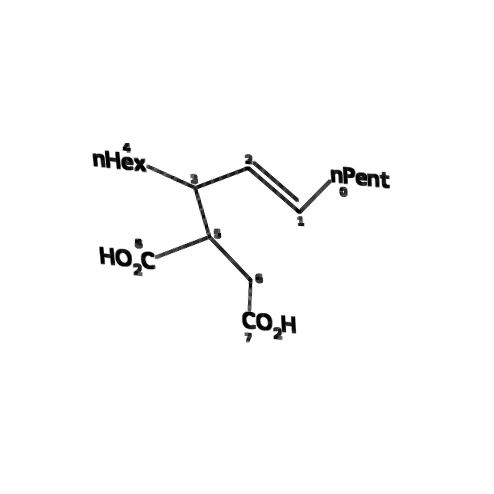 CCCCCC=CC(CCCCCC)C(CC(=O)O)C(=O)O